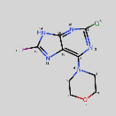 Clc1nc(N2CCOCC2)c2nc(I)[nH]c2n1